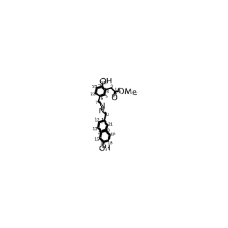 COC(=O)Cc1cc(/C=N/N=C/c2ccc3cc(O)ccc3c2)ccc1O